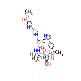 CCOC(=O)c1ccc(N2CCN(CCOCC(=O)NC(C(=O)N3C[C@H](O)C[C@H]3C(=O)N[C@@H](C)c3ccc(-c4scnc4C)cc3)C(C)(C)C)CC2)nc1